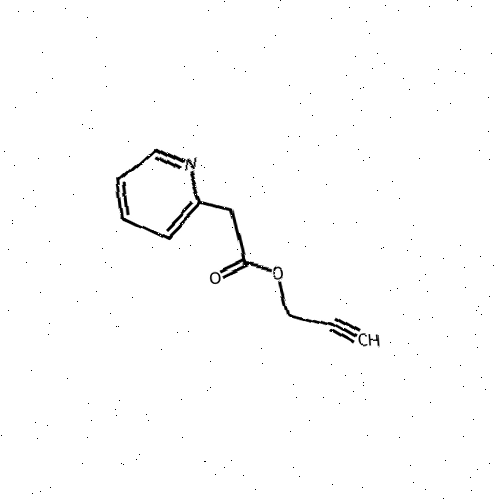 C#CCOC(=O)Cc1ccccn1